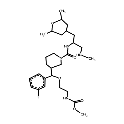 CNCC(CC1CC(C)OC(C)C1)NC(=O)N1CCCC(C(OCCNC(=O)OC)c2cccc(F)c2)C1